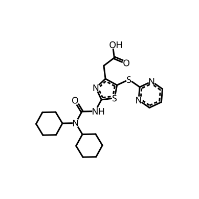 O=C(O)Cc1nc(NC(=O)N(C2CCCCC2)C2CCCCC2)sc1Sc1ncccn1